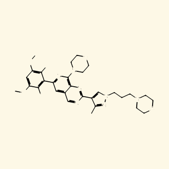 COc1cc(OC)c(F)c(-c2cc3cnc(-c4cn(CCCN5CCOCC5)nc4C)nc3c(N3CCOCC3)n2)c1F